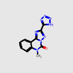 Cn1c(=O)n2nc(-c3nnn[nH]3)nc2c2ccccc21